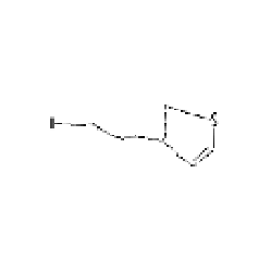 ICCC1C=CSC1